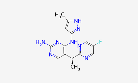 Cc1cc(Nc2nc(N)ncc2[C@H](C)c2ncc(F)cn2)n[nH]1